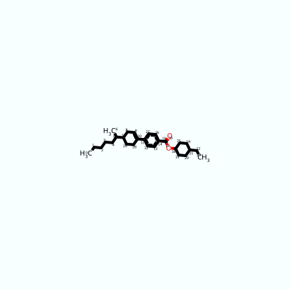 CCCCCC(C)C1CC=C(c2ccc(C(=O)OC3CCC(CC)CC3)cc2)CC1